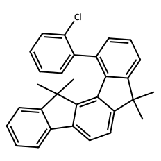 CC1(C)c2cccc(-c3ccccc3Cl)c2-c2c1ccc1c2C(C)(C)c2ccccc2-1